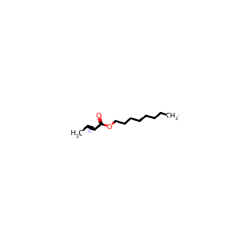 [CH2]CCCCCCCOC(=O)/C=C/C